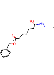 NC(O)CCCCCC(=O)OCc1ccccc1